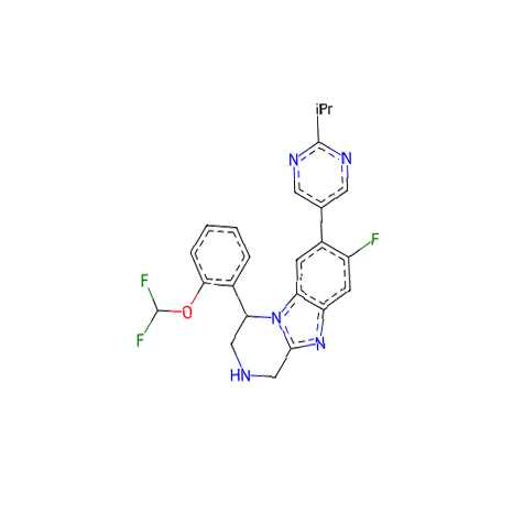 CC(C)c1ncc(-c2cc3c(cc2F)nc2n3C(c3ccccc3OC(F)F)CNC2)cn1